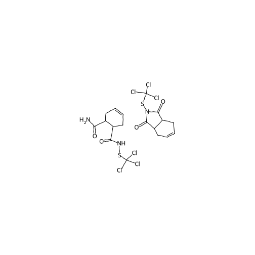 NC(=O)C1CC=CCC1C(=O)NSC(Cl)(Cl)Cl.O=C1C2CC=CCC2C(=O)N1SC(Cl)(Cl)Cl